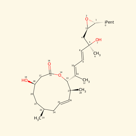 CCC[C@@H](C)[C@H]1O[C@@H]1C[C@@](C)(O)/C=C/C=C(\C)[C@H]1OC(=O)C[C@H](O)CC[C@H](C)C/C=C/[C@@H]1C